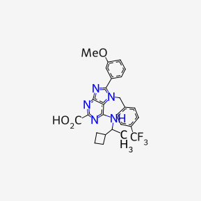 COc1cccc(-c2nc3nc(C(=O)O)nc(NC(C)C4CCC4)c3n2Cc2ccc(C(F)(F)F)cc2)c1